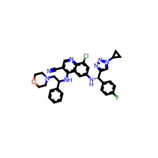 N#Cc1cnc2c(Cl)cc(N[C@@H](c3ccc(F)cc3)c3cn(C4CC4)nn3)cc2c1NC(CN1CCOCC1)c1ccccc1